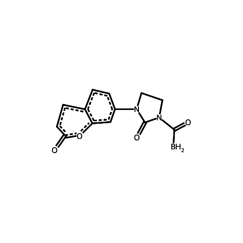 BC(=O)N1CCN(c2ccc3ccc(=O)oc3c2)C1=O